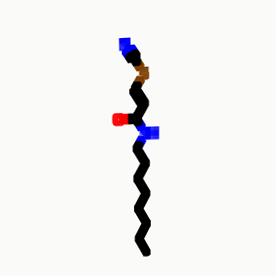 CCCCCCCCNC(=O)C=CSC#N